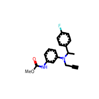 C#CCN(c1cccc(NC(=O)OC)c1)C(C)c1ccc(F)cc1